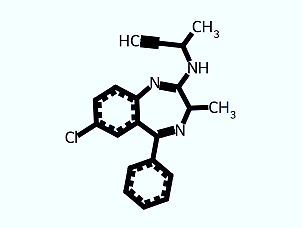 C#CC(C)NC1=Nc2ccc(Cl)cc2C(c2ccccc2)=NC1C